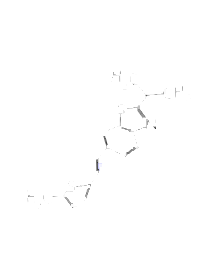 Cc1ccc(/C=C/c2ccc3nc(C(C)C)sc3c2)s1